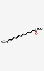 CCCCCCCC/C=C/C/C=C/CCCCCCC(=O)OC